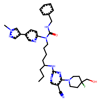 CCCC(CCCCN(C(=O)NCc1ccccc1)c1ccc(-c2cnn(C)c2)cn1)Nc1ncc(C#N)c(N2CCC(F)(CO)CC2)n1